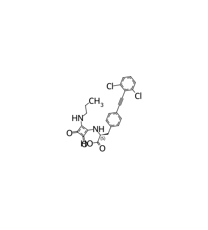 CCCNc1c(N[C@@H](Cc2ccc(C#Cc3c(Cl)cccc3Cl)cc2)C(=O)O)c(=O)c1=O